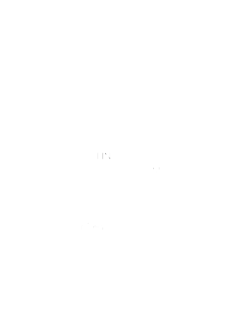 C=CC(C)[S+]([O-])NCCCCCCC